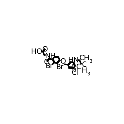 CC(C)C(C)Nc1cc(Cl)cc(COc2ccc(C(=O)NCC(=O)O)c(Br)c2Br)c1